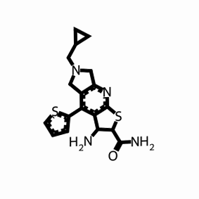 NC(=O)C1Sc2nc3c(c(-c4cccs4)c2C1N)CN(CC1CC1)C3